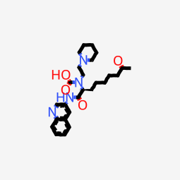 CC(=O)CCCCC[C@@H](C(=O)Nc1cnc2ccccc2c1)N(CCN1CCCCC1)C(=O)O